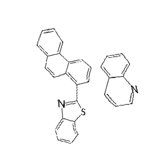 c1ccc2c(c1)ccc1c(-c3nc4ccccc4s3)cccc12.c1ccc2ncccc2c1